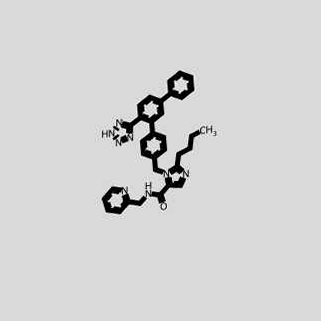 CCCCc1ncc(C(=O)NCc2ccccn2)n1Cc1ccc(-c2cc(-c3ccccc3)ccc2-c2nn[nH]n2)cc1